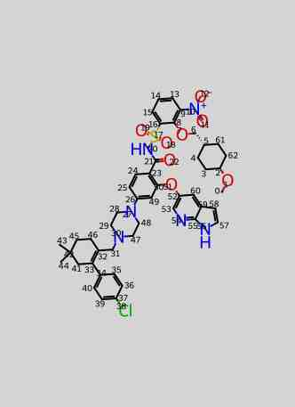 CO[C@H]1CC[C@H](COc2c([N+](=O)[O-])cccc2S(=O)(=O)NC(=O)c2ccc(N3CCN(CC4=C(c5ccc(Cl)cc5)CC(C)(C)CC4)CC3)cc2Oc2cnc3[nH]ccc3c2)CC1